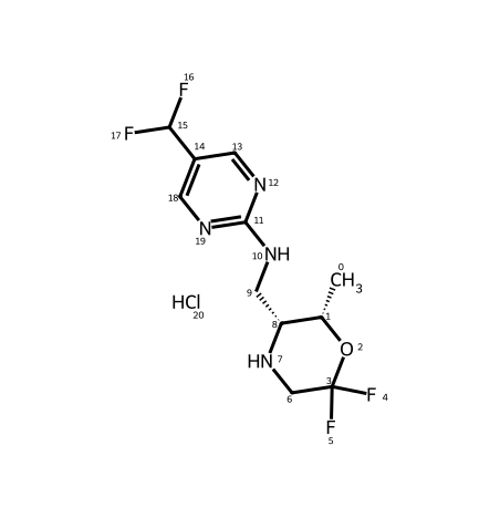 C[C@@H]1OC(F)(F)CN[C@@H]1CNc1ncc(C(F)F)cn1.Cl